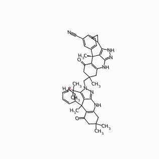 CC1(C)CC(=O)C2=C(C1)Nc1nn(CC3(C)CC(=O)C4=C(C3)Nc3n[nH]c(C5CC5)c3[C@@]4(C)c3cccc(C#N)c3)c(C(C)(C)C)c1C2(C)c1ccccc1